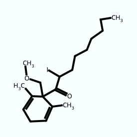 CCCCCCCC(I)C(=O)C1(COC)C(C)=CCC=C1C